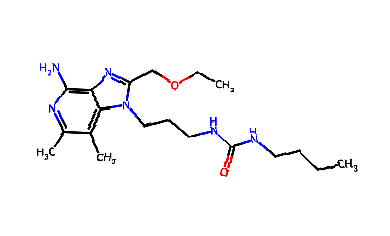 CCCCNC(=O)NCCCn1c(COCC)nc2c(N)nc(C)c(C)c21